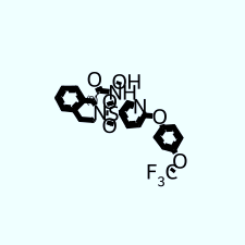 O=C(NO)[C@H]1c2ccccc2CCN1S(=O)(=O)c1ccc(Oc2ccc(OC(F)(F)F)cc2)nc1